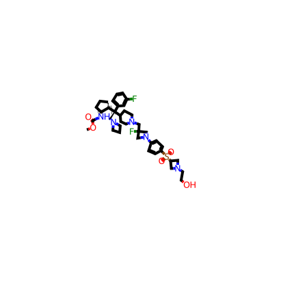 COC(=O)N[C@H]1CCC[C@@H]1[C@](CN1CCC1)(c1cccc(F)c1)C1CCN(CC2(F)CN(c3ccc(S(=O)(=O)C4CN(CCO)C4)cc3)C2)CC1